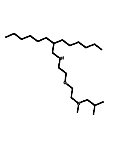 CCCCCCC(CCCCCC)CNCCOCCN(C)CC(C)C